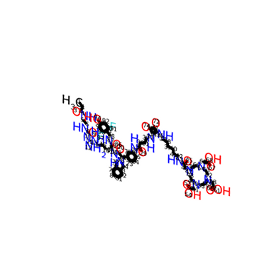 CCC(=O)NCCNC(=O)/N=C(/N)NCCC[C@@H](NC(=O)C(c1cccc(NC(=O)CCCNc2c(NCCCCCCNC(=O)CN3CCN(CC(=O)O)CCN(CC(=O)O)CCN(CC(=O)O)CC3)c(=O)c2=O)c1)N1Cc2ccccc2C1)C(=O)NCc1c(F)cc(O)cc1F